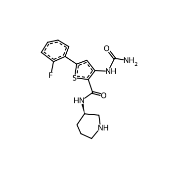 NC(=O)Nc1cc(-c2ccccc2F)sc1C(=O)N[C@@H]1CCCNC1